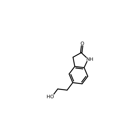 O=C1Cc2cc(CCO)ccc2N1